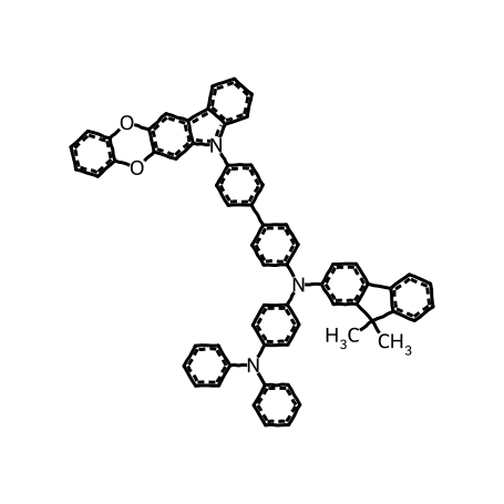 CC1(C)c2ccccc2-c2ccc(N(c3ccc(-c4ccc(-n5c6ccccc6c6cc7c(cc65)Oc5ccccc5O7)cc4)cc3)c3ccc(N(c4ccccc4)c4ccccc4)cc3)cc21